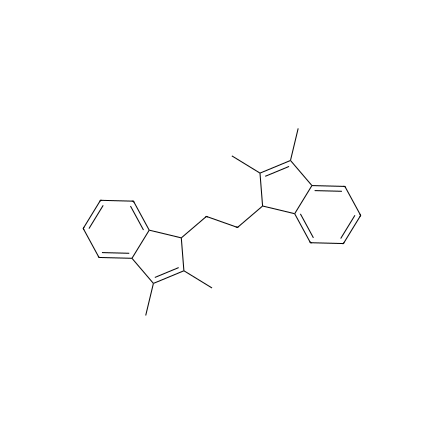 CC1=C(C)C(CCC2C(C)=C(C)c3ccccc32)c2ccccc21